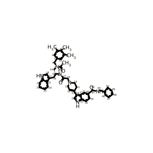 CC(=O)N(Cc1cc(C)c(C)c(C)c1)C[C@@H](Cc1c[nH]c2ccccc12)NC(=O)CN1CC=C(c2c[nH]c3ccc(C(=O)NCc4ccccc4)cc23)CC1